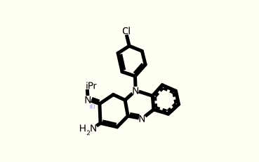 CC(C)/N=C1\CC2C(=Nc3ccccc3N2C2=CCC(Cl)C=C2)C=C1N